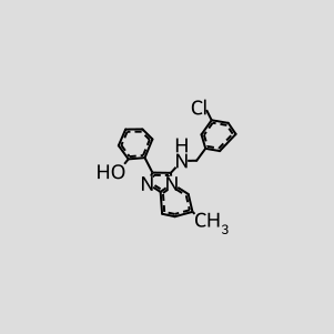 Cc1ccc2nc(-c3ccccc3O)c(NCc3cccc(Cl)c3)n2c1